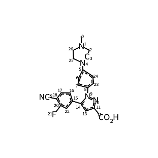 CN1CCN(c2ccc(-n3nc(C(=O)O)cc3-c3ccc(C#N)c(F)c3)cc2)CC1